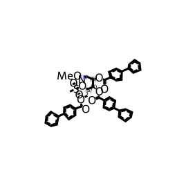 CO/N=C/[C@@H](OC(=O)c1ccc(-c2ccccc2)cc1)[C@@H](OC(=O)c1ccc(-c2ccccc2)cc1)[C@H](COC(=O)c1ccc(-c2ccccc2)cc1)OS(C)(=O)=O